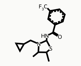 CC1SC(NC(=O)c2cccc(C(F)(F)F)c2)N(CC2CC2)C1C